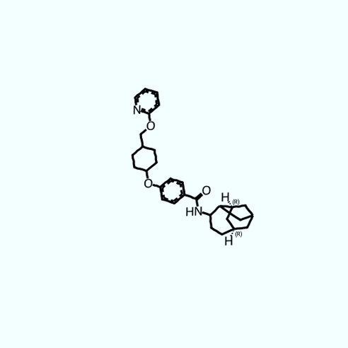 O=C(NC1CC[C@@H]2CC3CC1[C@@H](C3)C2)c1ccc(OC2CCC(COc3ccccn3)CC2)cc1